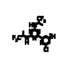 [2H]c1cc(Cl)nc(-c2nc(NC(C)C(F)(F)F)nc(NC(C)C(F)(F)F)n2)c1